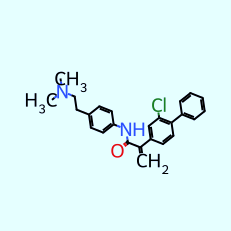 C=C(C(=O)Nc1ccc(CCN(C)C)cc1)c1ccc(-c2ccccc2)c(Cl)c1